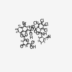 N#Cc1ccccc1NC(=O)c1c(Cl)c(Cl)c(Cl)c(Cl)c1C(=O)O.O=C(O)c1cc(=O)cc(C(=O)Oc2c(C(=O)O)cc(Br)c3ccccc23)o1